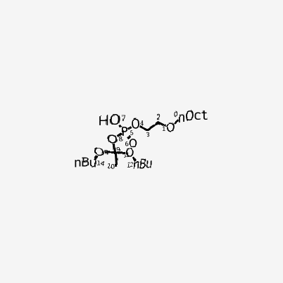 CCCCCCCCOCCOP(=O)(O)OC(C)(OCCCC)OCCCC